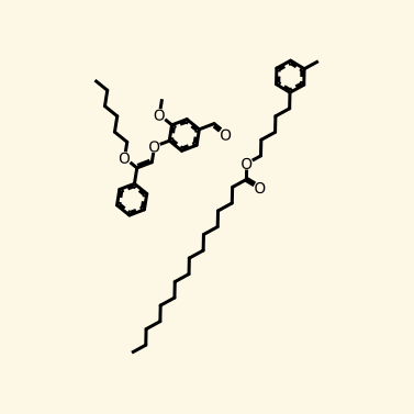 CCCCCCCCCCCCCCCC(=O)OCCCCCc1cccc(C)c1.CCCCCCOC(=COc1ccc(C=O)cc1OC)c1ccccc1